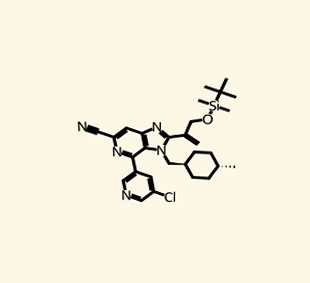 C=C(CO[Si](C)(C)C(C)(C)C)c1nc2cc(C#N)nc(-c3cncc(Cl)c3)c2n1C[C@H]1CC[C@H](C)CC1